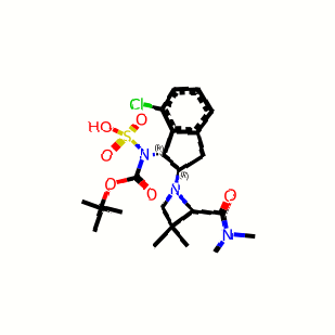 CN(C)C(=O)C1N([C@@H]2Cc3cccc(Cl)c3[C@H]2N(C(=O)OC(C)(C)C)S(=O)(=O)O)CC1(C)C